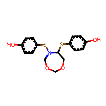 Oc1ccc(SC2COCOCN2Sc2ccc(O)cc2)cc1